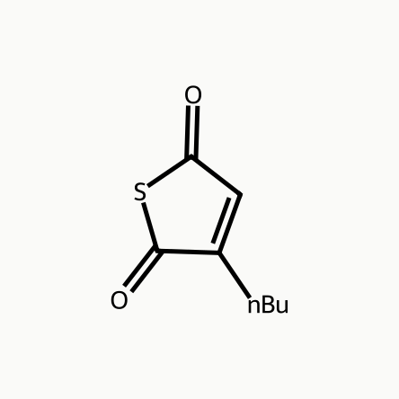 CCCCC1=CC(=O)SC1=O